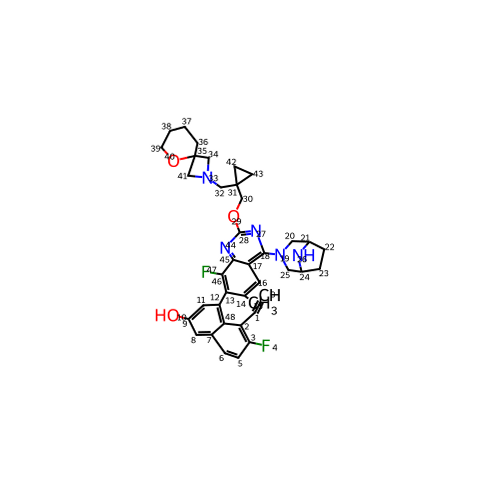 C#Cc1c(F)ccc2cc(O)cc(-c3c(C)cc4c(N5CC6CCC(C5)N6)nc(OCC5(CN6CC7(CCCCO7)C6)CC5)nc4c3F)c12